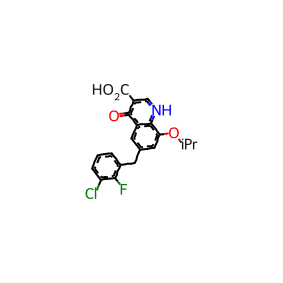 CC(C)Oc1cc(Cc2cccc(Cl)c2F)cc2c(=O)c(C(=O)O)c[nH]c12